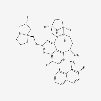 Cc1c(F)ccc2cccc(-c3nc4c5c(nc(OC[C@@]67CCCN6C[C@H](F)C7)nc5c3F)N3C[C@H]5CC[C@H](N5)[C@H]3CC[C@@H]4C)c12